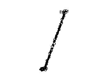 CCOP(=O)(CCOCCOCCOCCOCCOCCOCCOCCOCCOCCOCCOCCOCCOCCOCCOCCOS(=O)(=O)c1ccc(C)cc1)OCC